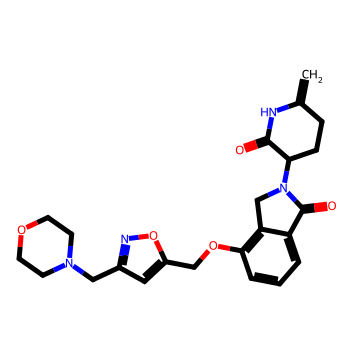 C=C1CCC(N2Cc3c(OCc4cc(CN5CCOCC5)no4)cccc3C2=O)C(=O)N1